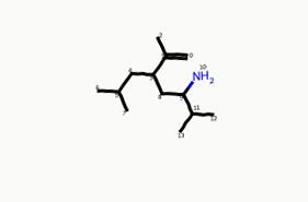 C=C(C)C(CC(C)C)CC(N)C(C)C